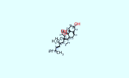 CC(C)[C@@H](C)/C=C/[C@@H](C)[C@H]1CC[C@@H]([C@@H]2CC=C3C[C@@H](O)CC[C@]3(C)C2=O)[C@]1(C)CCO